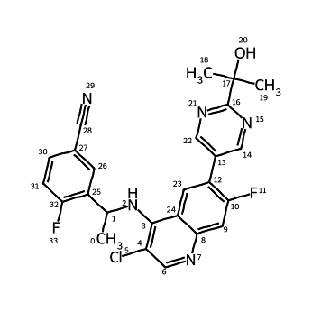 CC(Nc1c(Cl)cnc2cc(F)c(-c3cnc(C(C)(C)O)nc3)cc12)c1cc(C#N)ccc1F